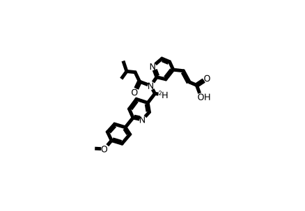 [2H]C(c1ccc(-c2ccc(OC)cc2)nc1)N(C(=O)CC(C)C)c1cc(C=CC(=O)O)ccn1